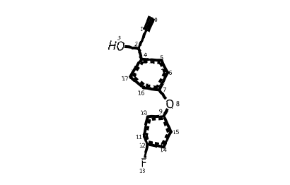 C#CC(O)c1ccc(Oc2ccc(F)cc2)cc1